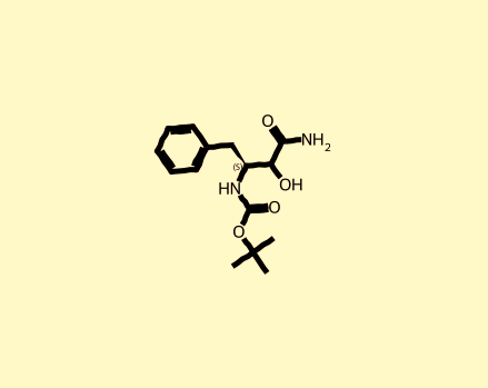 CC(C)(C)OC(=O)N[C@@H](Cc1ccccc1)C(O)C(N)=O